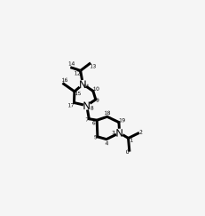 CC(C)N1CCC(CN2CCN(C(C)C)C(C)C2)CC1